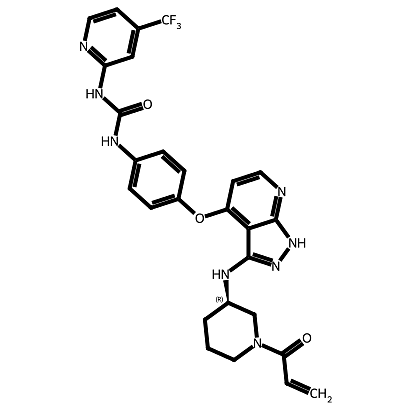 C=CC(=O)N1CCC[C@@H](Nc2n[nH]c3nccc(Oc4ccc(NC(=O)Nc5cc(C(F)(F)F)ccn5)cc4)c23)C1